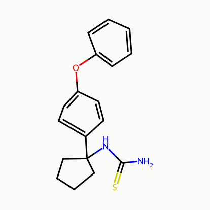 NC(=S)NC1(c2ccc(Oc3ccccc3)cc2)CCCC1